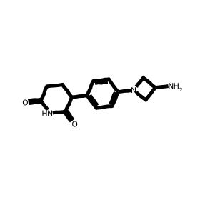 NC1CN(c2ccc(C3CCC(=O)NC3=O)cc2)C1